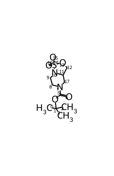 CC(C)(C)OC(=O)N1CCN2C(COS2(=O)=O)C1